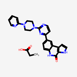 CCC(=O)O.O=c1[nH]c2ccc(-c3ccnc(N4CCN(c5ccccn5)CC4)n3)cc2c2cc[nH]c12